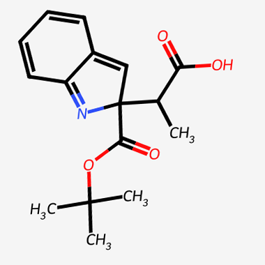 CC(C(=O)O)C1(C(=O)OC(C)(C)C)C=c2ccccc2=N1